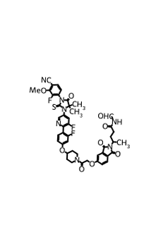 COc1c(C#N)ccc(N2C(=O)C(C)(C)N(c3cnc(-c4ccc(OC5CCN(C(=O)COc6ccc7c(c6)C(=O)N(C(C)CCC(=O)NC=O)C7=O)CC5)cc4F)c(F)c3)C2=S)c1F